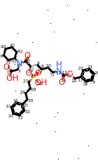 O=C(O)CN(C(=O)[C@H](CCCCNC(=O)OCc1ccccc1)OP(=O)(O)CCCCc1ccccc1)C1CCCCC1